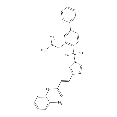 CN(C)Cc1cc(-c2ccccc2)ccc1S(=O)(=O)n1ccc(C=CC(=O)Nc2ccccc2N)c1